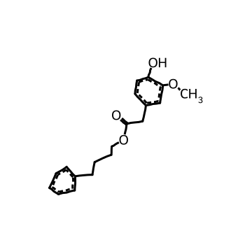 COc1cc(CC(=O)OCCCCc2ccccc2)ccc1O